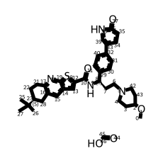 COC1CCN(CC[C@@H](NC(=O)c2cc3cc4c(nc3s2)CC[C@H](C(C)(C)C)C4)c2ccc(-c3ccc(=O)[nH]c3)cc2)CC1.O=CO